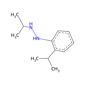 CC(C)NNc1ccccc1C(C)C